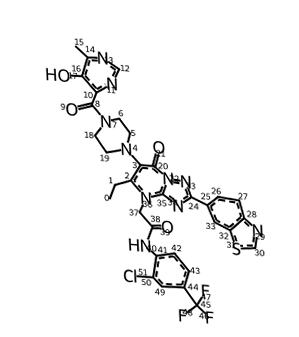 CCc1c(N2CCN(C(=O)c3ncnc(C)c3O)CC2)c(=O)n2nc(-c3ccc4ncsc4c3)nc2n1CC(=O)Nc1ccc(C(F)(F)F)cc1Cl